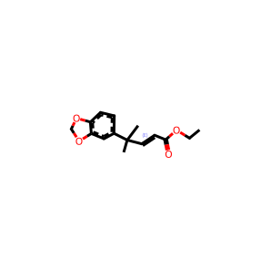 CCOC(=O)/C=C/C(C)(C)c1ccc2c(c1)OCO2